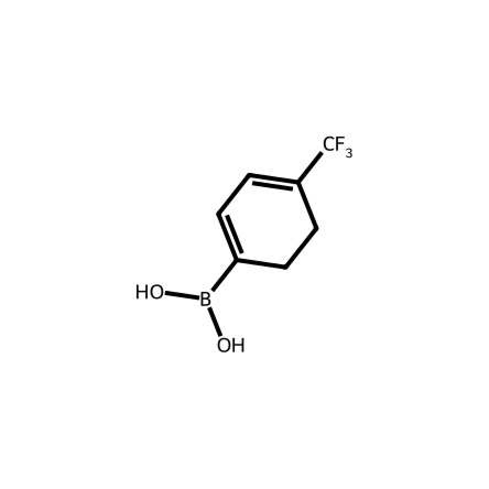 OB(O)C1=CC=C(C(F)(F)F)CC1